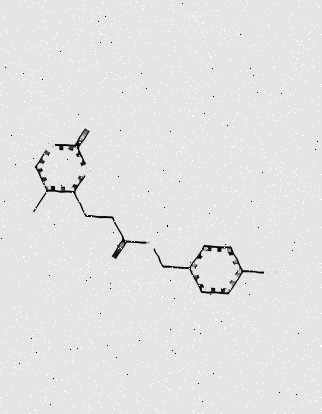 COc1ccc(CNC(=O)CCc2nc(=O)[nH]cc2C)cc1